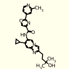 Cc1cc(-c2nc(C(=O)Nc3cn4cc(CCC(C)(C)O)nc4cc3C3CC3)co2)ccn1